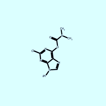 CC(C)n1cnc2c(OC(=O)N(C)C)nc(Cl)nc21